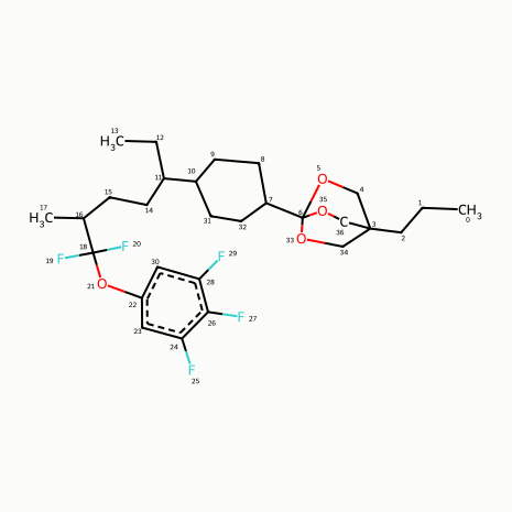 CCCC12COC(C3CCC(C(CC)CCC(C)C(F)(F)Oc4cc(F)c(F)c(F)c4)CC3)(OC1)OC2